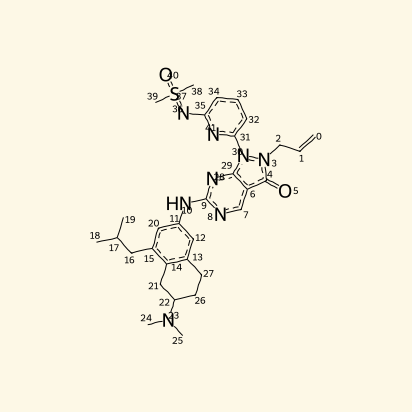 C=CCn1c(=O)c2cnc(Nc3cc4c(c(CC(C)C)c3)CC(N(C)C)CC4)nc2n1-c1cccc(N=S(C)(C)=O)n1